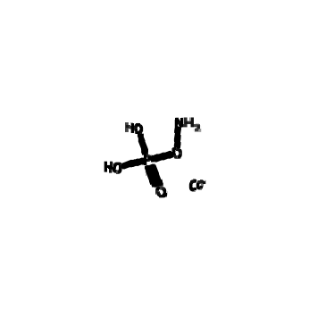 NOP(=O)(O)O.[Co]